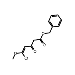 COC(Cl)=CC(=O)CC(=O)OCc1ccccc1